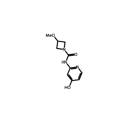 COC1CN(C(=O)Nc2cc(O)ccn2)C1